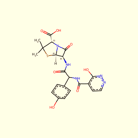 CC1(C)S[C@@H]2[C@H](NC(=O)C(NC(=O)c3ccnnc3O)c3ccc(O)cc3)C(=O)N2[C@H]1C(=O)O